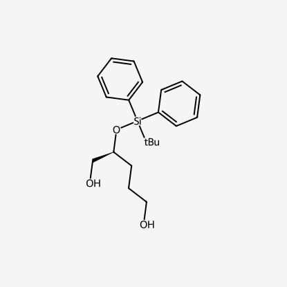 CC(C)(C)[Si](O[C@H](CO)CCCO)(c1ccccc1)c1ccccc1